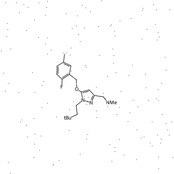 CNCc1cc(OCc2cc(C)ccc2F)n(CCC(C)(C)C)n1